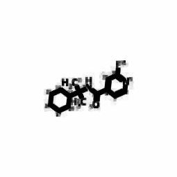 CC(C)(NC(=O)c1ccnc(F)c1)C1CCCCC1